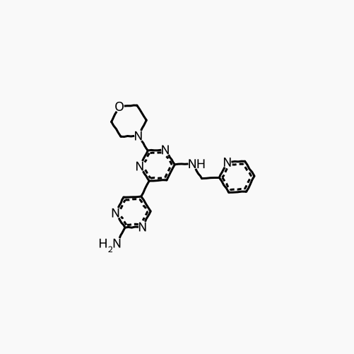 Nc1ncc(-c2cc(NCc3ccccn3)nc(N3CCOCC3)n2)cn1